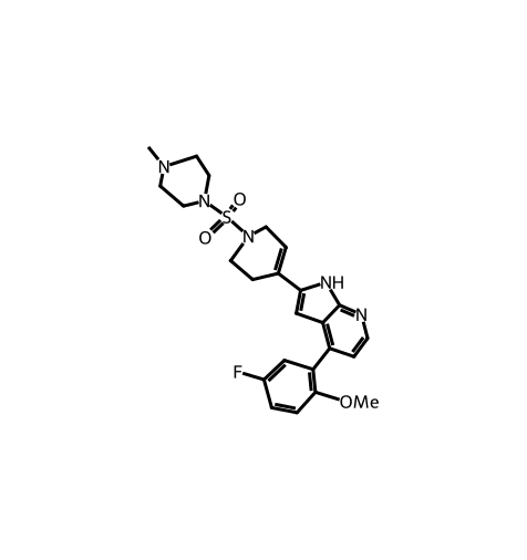 COc1ccc(F)cc1-c1ccnc2[nH]c(C3=CCN(S(=O)(=O)N4CCN(C)CC4)CC3)cc12